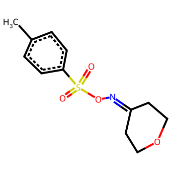 Cc1ccc(S(=O)(=O)ON=C2CCOCC2)cc1